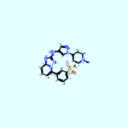 CN1CCC(n2cc(Nc3nc4cccc(-c5cccc(S(C)(=O)=O)c5)n4n3)cn2)CC1